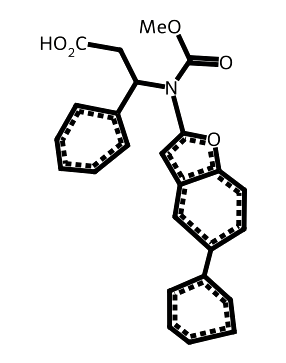 COC(=O)N(c1cc2cc(-c3ccccc3)ccc2o1)C(CC(=O)O)c1ccccc1